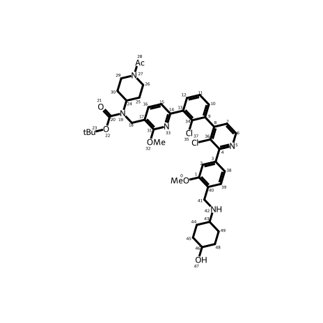 COc1cc(-c2nccc(-c3cccc(-c4ccc(CN(C(=O)OC(C)(C)C)C5CCN(C(C)=O)CC5)c(OC)n4)c3Cl)c2Cl)ccc1CNC1CCC(O)CC1